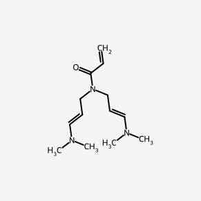 C=CC(=O)N(CC=CN(C)C)CC=CN(C)C